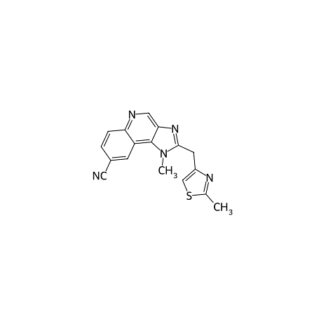 Cc1nc(Cc2nc3cnc4ccc(C#N)cc4c3n2C)cs1